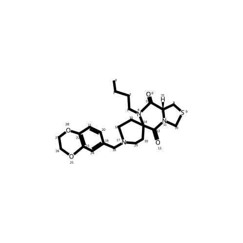 CCCCN1C(=O)[C@@H]2CSCN2C(=O)C12CCN(Cc1ccc3c(c1)OCCO3)CC2